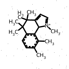 Cc1ccc2c(c1C)C1C(=CC=[N+]1C)C(C)(C)C2(C)C